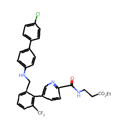 CCOC(=O)CCNC(=O)c1ccc(-c2c(CNc3ccc(-c4ccc(Cl)cc4)cc3)cccc2C(F)(F)F)cn1